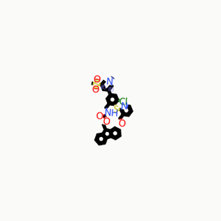 C=N/C=C(\C=C(/C)S(C)(=O)=O)c1cc(Cl)c(Sc2ncccc2C=O)c(CNC(=O)OCC2c3ccccc3-c3ccccc32)c1